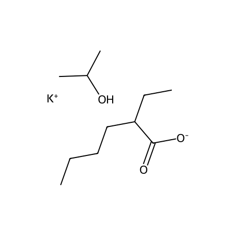 CC(C)O.CCCCC(CC)C(=O)[O-].[K+]